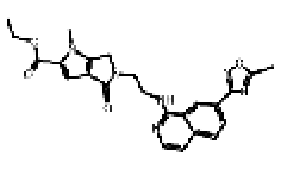 CCOC(=O)c1cc2c(n1C)CN(CCNc1nccc3ccc(-c4noc(C)n4)cc13)C2=O